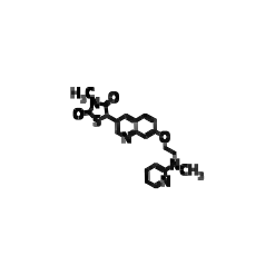 CN1C(=O)SC(c2cnc3cc(OCCN(C)c4ccccn4)ccc3c2)C1=O